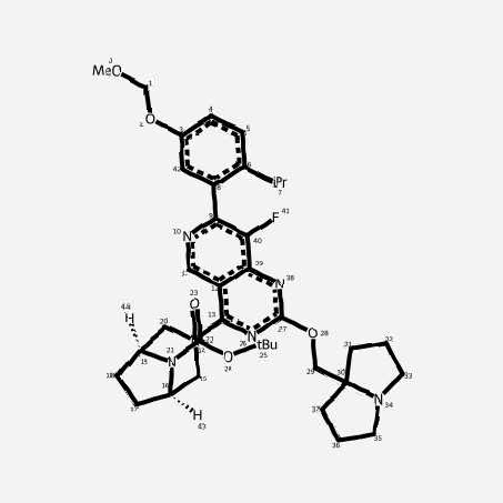 COCOc1ccc(C(C)C)c(-c2ncc3c(N4C[C@H]5CC[C@@H](C4)N5C(=O)OC(C)(C)C)nc(OCC45CCCN4CCC5)nc3c2F)c1